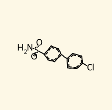 NS(=O)(=O)c1ccc(-c2ccc(Cl)cc2)cc1